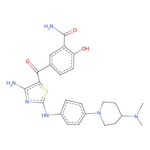 CN(C)C1CCN(c2ccc(Nc3nc(N)c(C(=O)c4ccc(O)c(C(N)=O)c4)s3)cc2)CC1